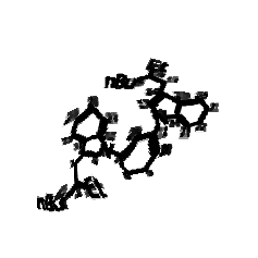 CCCCC(CC)Cc1cn(-c2cccc(-n3cc(CC(CC)CCCC)c4ccccc43)c2)c2ccccc12